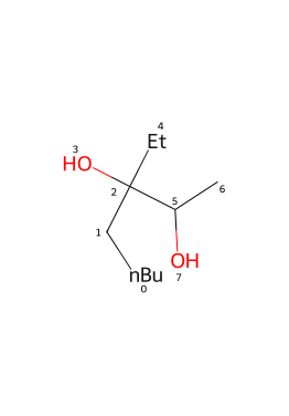 [CH2]CCCCC(O)(CC)C(C)O